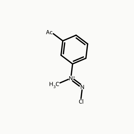 CC(=O)c1cccc([N+](C)=NCl)c1